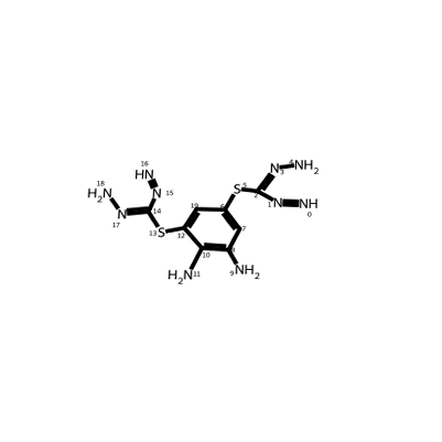 N=NC(=NN)Sc1cc(N)c(N)c(SC(N=N)=NN)c1